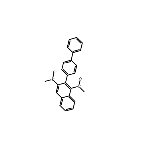 C[S+]([O-])c1cc2ccccc2c([S+](C)[O-])c1-c1ccc(-c2ccccc2)cc1